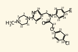 CN1CCN(c2ccc(CN(C(=O)COc3ccc(Cl)cc3)c3ccc(F)cc3)cn2)CC1